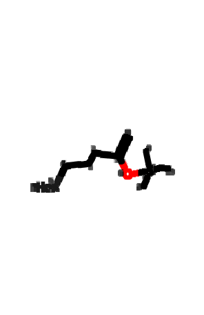 C=C(CCCCCCCCC)O[Si](C)(C)C